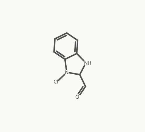 O=CC1Nc2ccccc2N1Cl